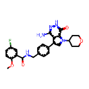 COc1ccc(F)cc1C(=O)NCc1ccc(-c2cn(C3CCOCC3)c3c(=O)[nH]nc(N)c23)cc1